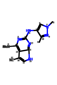 CNc1nc(Nc2cn(C)nc2C)nc2[nH]cc(C#N)c12